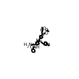 COc1ccc(CCn2c(-c3ccc(N(CCOC(C)=O)CCOC(C)=O)cc3)nc3cc(C(CC(N)=O)NCC4CCCCC4)ccc32)cc1